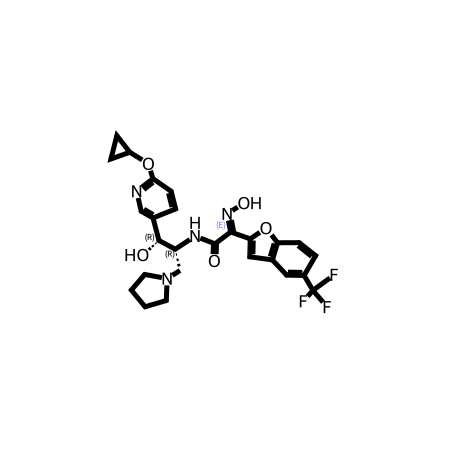 O=C(N[C@H](CN1CCCC1)[C@H](O)c1ccc(OC2CC2)nc1)/C(=N/O)c1cc2cc(C(F)(F)F)ccc2o1